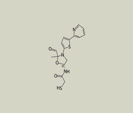 CC1(C=O)O[C@@H](NC(=O)CS)CN1c1ccc(-c2ccccn2)s1